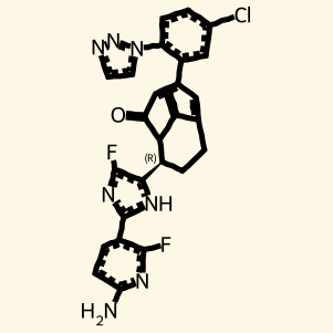 C=C1C2=CC(c3cc(Cl)ccc3-n3ccnn3)=CC(=O)C1[C@H](c1[nH]c(-c3ccc(N)nc3F)nc1F)CC2